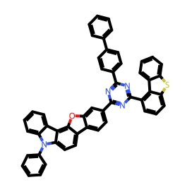 c1ccc(-c2ccc(-c3nc(-c4ccc5c(c4)oc4c5ccc5c4c4ccccc4n5-c4ccccc4)nc(-c4cccc5sc6ccccc6c45)n3)cc2)cc1